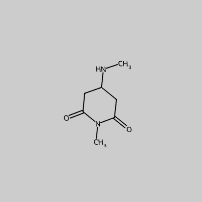 CNC1CC(=O)N(C)C(=O)C1